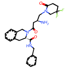 N[C@@H](CC(=O)N1Cc2ccccc2C[C@H]1C(=O)NCc1ccccc1)CN1CC(F)(F)CCC1=O